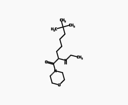 CCNC(CCCCC(C)(C)C)C(=O)N1CCOCC1